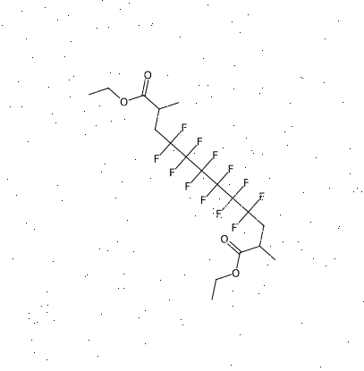 CCOC(=O)C(C)CC(F)(F)C(F)(F)C(F)(F)C(F)(F)C(F)(F)C(F)(F)CC(C)C(=O)OCC